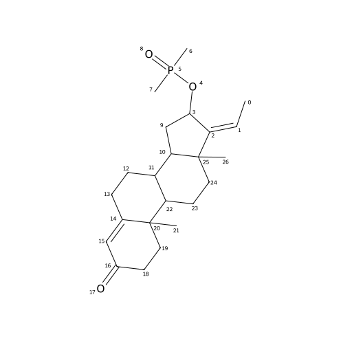 CC=C1C(OP(C)(C)=O)CC2C3CCC4=CC(=O)CCC4(C)C3CCC12C